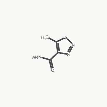 CNC(=O)c1nnsc1C